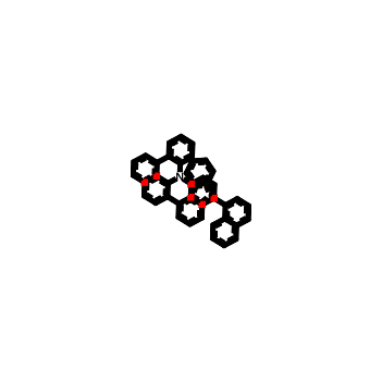 c1ccc(-c2ccccc2N(c2ccc(-c3cccc4ccccc34)cc2)c2ccccc2-c2cccc3oc4ccccc4c23)cc1